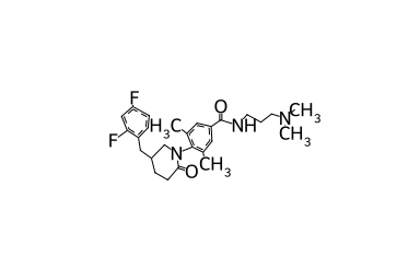 Cc1cc(C(=O)NCCCN(C)C)cc(C)c1N1CC(Cc2ccc(F)cc2F)CCC1=O